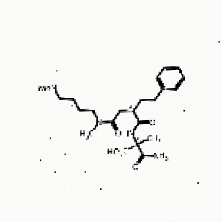 CNCCCCN(C)C(=O)C[C@@H](CCc1ccccc1)C(=O)N[C@](C)(C(N)=O)C(=O)O